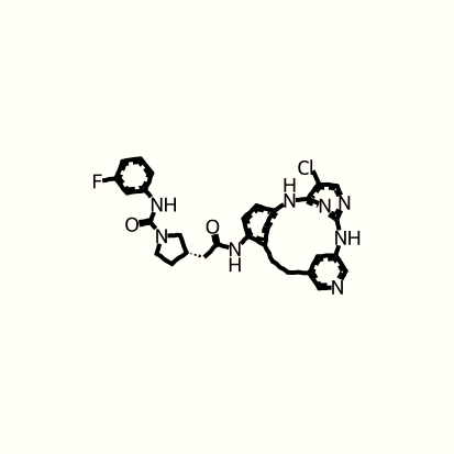 O=C(C[C@@H]1CCN(C(=O)Nc2cccc(F)c2)C1)Nc1ccc2cc1CCc1cncc(c1)Nc1ncc(Cl)c(n1)N2